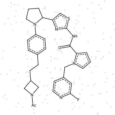 CC(=O)N1CC(CCc2ccc(N3CCCC3c3csc(NC(=O)c4cccn4Cc4ccnc(F)c4)n3)cc2)C1